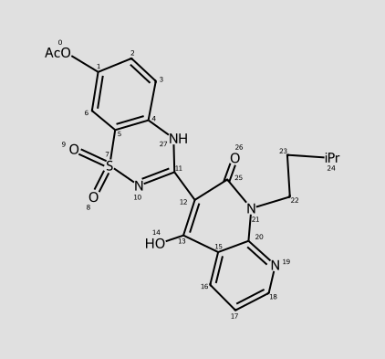 CC(=O)Oc1ccc2c(c1)S(=O)(=O)N=C(c1c(O)c3cccnc3n(CCC(C)C)c1=O)N2